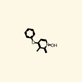 C=C1C(C)=C(Oc2ccccc2)C=CN1O